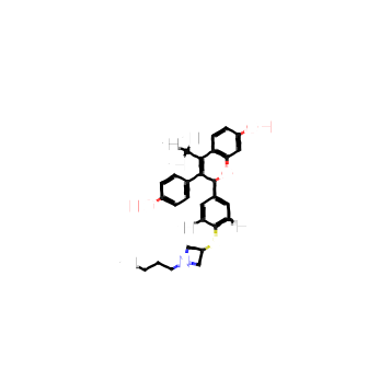 [2H]CCCN1CC(Sc2c([2H])cc(C3Oc4cc(O)ccc4C(C([2H])([2H])[2H])=C3c3ccc(O)cc3)cc2[2H])C1